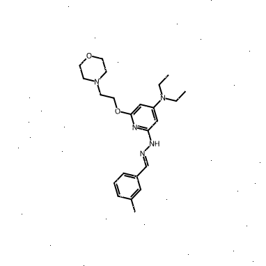 CCN(CC)c1cc(NN=Cc2cccc(C)c2)nc(OCCN2CCOCC2)c1